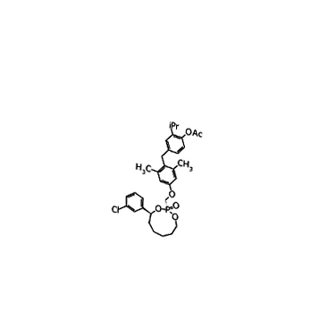 CC(=O)Oc1ccc(Cc2c(C)cc(OC[P@]3(=O)OCCCCC[C@@H](c4cccc(Cl)c4)O3)cc2C)cc1C(C)C